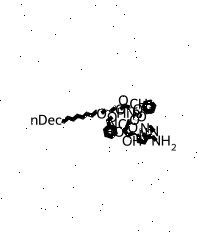 CCCCCCCCCCCCCCCCCCOC[C@H](COC(=O)C(C)NP(=O)(OC[C@@]1(C#N)O[C@@H](c2ccc3c(N)ncnn23)[C@H](O)[C@@H]1O)Oc1ccccc1)OCc1ccccc1